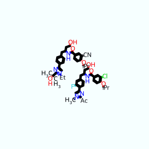 CC(=O)c1nc(-c2ccc(CC(CCO)NC(=O)c3ccc(OC(C)C)c(Cl)c3)cc2F)cn1C.CCn1cc(-c2ccc(CC(CCO)NC(=O)c3ccc(OC(C)C)c(C#N)c3)cc2)nc1C(C)(C)O